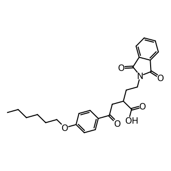 CCCCCCOc1ccc(C(=O)CC(CCN2C(=O)c3ccccc3C2=O)C(=O)O)cc1